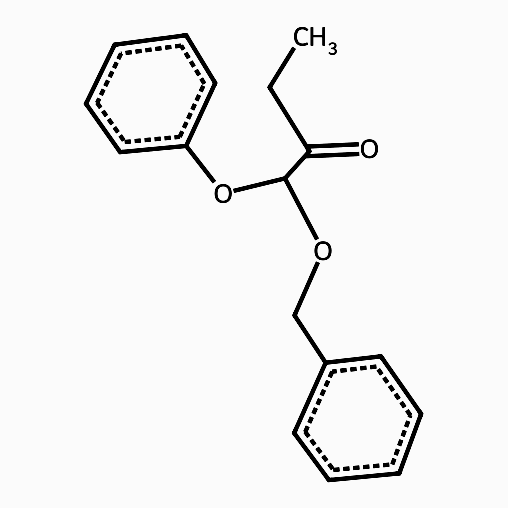 CCC(=O)C(OCc1ccccc1)Oc1ccccc1